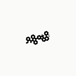 C=Cc1ccccc1C(=C)c1c2ccccc2c(-c2ccc3c(c2)-c2ccc4ccc5sc6ccccc6c5c4c2C3(C)C)c2ccccc12